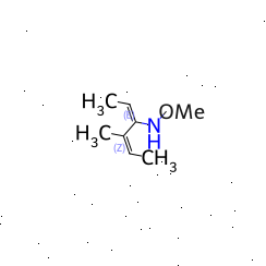 C/C=C(C)\C(=C/C)NOC